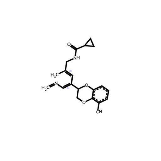 C=N/C=C(\C=C(/C)CNC(=O)C1CC1)C1COc2c(C#N)cccc2O1